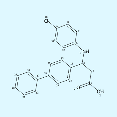 O=C(O)CC(Nc1ccc(Cl)cc1)c1ccc(-c2ccccc2)cc1